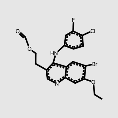 CCOc1cc2ncc(CCOC=O)c(Nc3ccc(Cl)c(F)c3)c2cc1Br